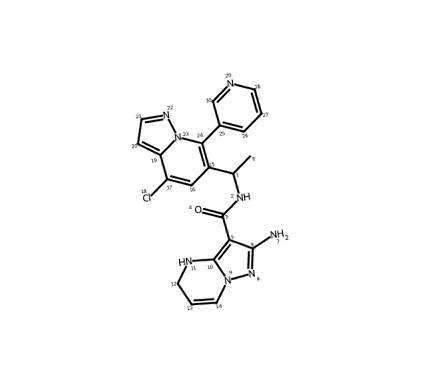 CC(NC(=O)c1c(N)nn2c1NCC=C2)c1cc(Cl)c2ccnn2c1-c1cccnc1